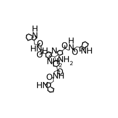 Nc1cc(C(=O)CNC(=O)Cc2c[nH]c3ccccc23)ccc1C(c1ccc(C(=O)CNC(=O)Cc2c[nH]c3ccccc23)cc1N)c1ccc(C(=O)CNC(=O)Cc2c[nH]c3ccccc23)cc1N